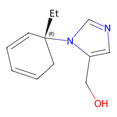 CC[C@]1(n2cncc2CO)C=CC=CC1